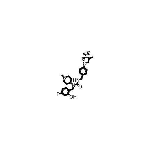 CC(COc1ccc(CNC(=O)N(Cc2ccc(F)cc2O)C2CCN(C)CC2)cc1)S(C)(=O)=O